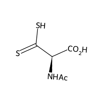 CC(=O)N[C@H](C(=O)O)C(=S)S